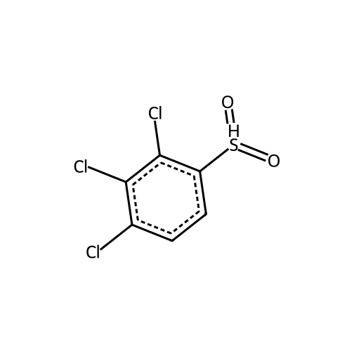 O=[SH](=O)c1ccc(Cl)c(Cl)c1Cl